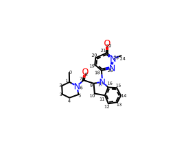 CC1CCCCN1C(=O)C1Cc2ccccc2N1c1ccc(=O)n(C)n1